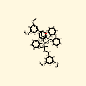 COc1cc(CCC(C)(C)[Si](O[Si](c2ccccc2)(c2ccccc2)C(C)(C)CCc2cc(OC)cc(OC)c2)(c2ccccc2)c2ccccc2)cc(OC)c1